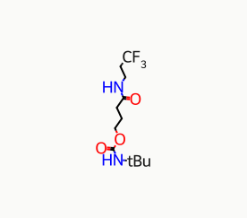 CC(C)(C)NC(=O)OCCCC(=O)NCCC(F)(F)F